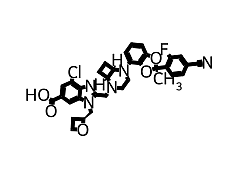 C[C@]1(c2ccc(C#N)cc2F)Oc2cccc(N3CCN(Cc4nc5c(Cl)cc(C(=O)O)cc5n4C[C@@H]4CCO4)[C@H]4CC[C@H]43)c2O1